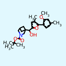 COc1cc(C)ccc1-c1oc(C(O)C23CC(CN(C(=O)OC(C)(C)C)C2)C3)cc1C